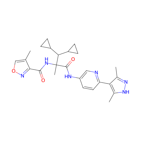 Cc1conc1C(=O)NC(C)(C(=O)Nc1ccc(-c2c(C)n[nH]c2C)nc1)C(C1CC1)C1CC1